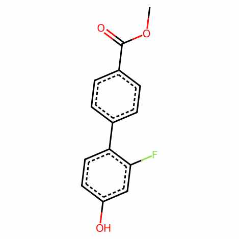 COC(=O)c1ccc(-c2ccc(O)cc2F)cc1